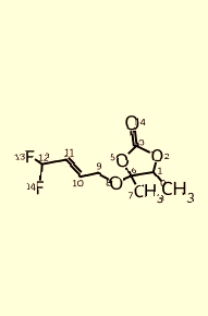 CC1OC(=O)OC1(C)OCC=CC(F)F